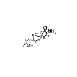 CC1CCC(c2ccc(-c3ccc(N)c(Cl)n3)cc2)CC1